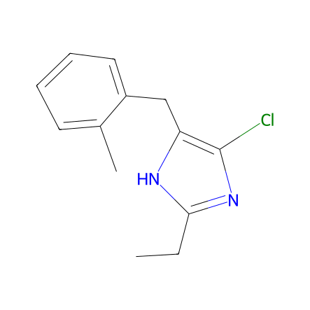 CCc1nc(Cl)c(Cc2ccccc2C)[nH]1